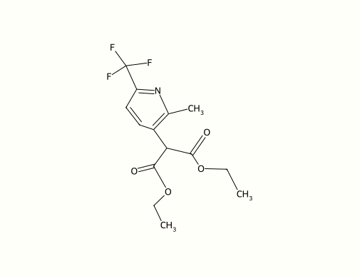 CCOC(=O)C(C(=O)OCC)c1ccc(C(F)(F)F)nc1C